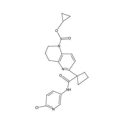 O=C(OC1CC1)N1CCCc2nc(C3(C(=O)Nc4ccc(Cl)nc4)CCC3)ccc21